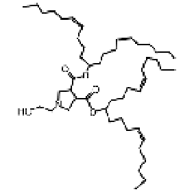 CCCCC/C=C\CCCC(CCC/C=C\CCCCC)OC(=O)C1CN(CCO)CC1C(=O)OC(CCC/C=C\CCCCC)CCC/C=C\CCCCC